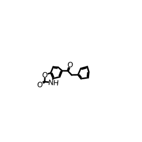 O=C(Cc1ccccc1)c1ccc2oc(=O)[nH]c2c1